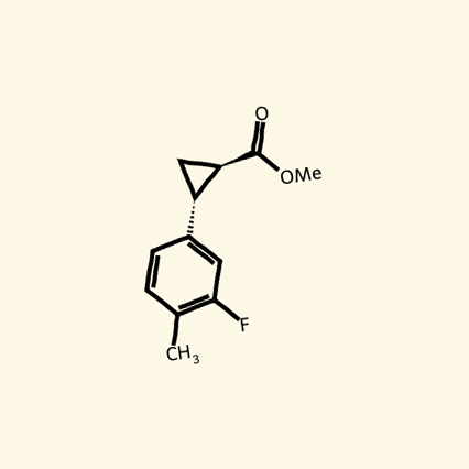 COC(=O)[C@@H]1C[C@H]1c1ccc(C)c(F)c1